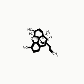 C=CCN1CC[C@]23c4c5ccc(O)c4O[C@H]2[C@@H](O)C=C[C@@]3(C)[C@H]1C5